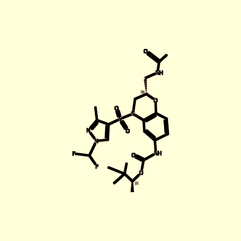 CC(=O)NC[C@H]1CN(S(=O)(=O)c2cn(C(F)F)nc2C)c2cc(NC(=O)O[C@@H](C)C(C)(C)C)ccc2O1